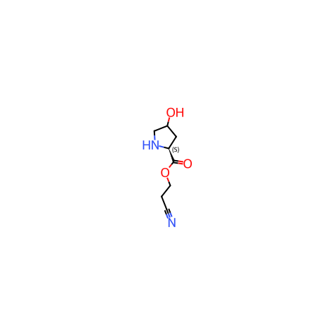 N#CCCOC(=O)[C@@H]1CC(O)CN1